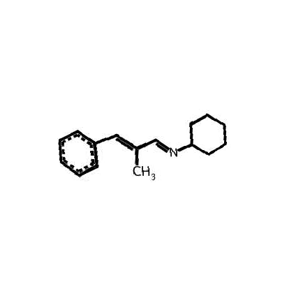 CC(/C=N/C1CCCCC1)=C\c1ccccc1